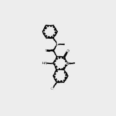 CN(C(=S)c1c(O)c2cc(Cl)ccc2n(C)c1=O)c1ccccc1